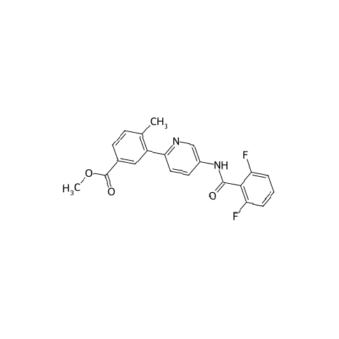 COC(=O)c1ccc(C)c(-c2ccc(NC(=O)c3c(F)cccc3F)cn2)c1